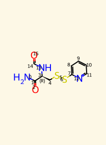 NC(=O)[C@H](CSSc1ccccn1)NC=O